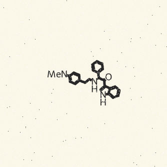 CNc1ccc(CCN[C@H](C(=O)c2c[nH]c3ccccc23)c2ccccc2)cc1